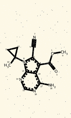 COC(=O)c1c(C#N)n(C2(C)CC2)c2ncnc(N)c12